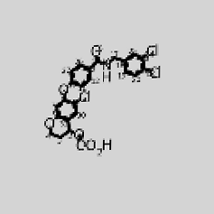 O=C(O)OC1CCOc2cc(Oc3ccc(C(=O)NCc4ccc(Cl)c(Cl)c4)cc3)c(Cl)cc21